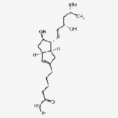 CCCC[C@H](C)C[C@H](O)/C=C/[C@@H]1[C@H]2CC(CCCCC(=O)NC(C)C)=C[C@H]2C[C@H]1O